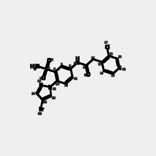 NS(=O)(=O)c1cc(NC(=O)Cc2ccncc2Cl)ccc1-n1cc(Br)cn1